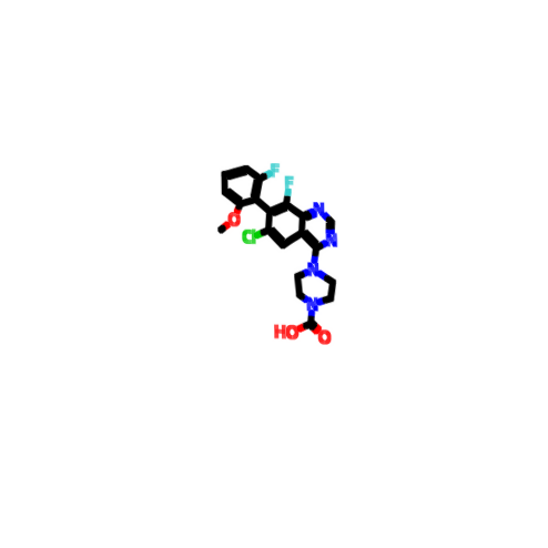 COc1cccc(F)c1-c1c(Cl)cc2c(N3CCN(C(=O)O)CC3)ncnc2c1F